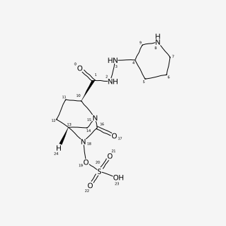 O=C(NNC1CCCNC1)[C@@H]1CC[C@@H]2CN1C(=O)N2OS(=O)(=O)O